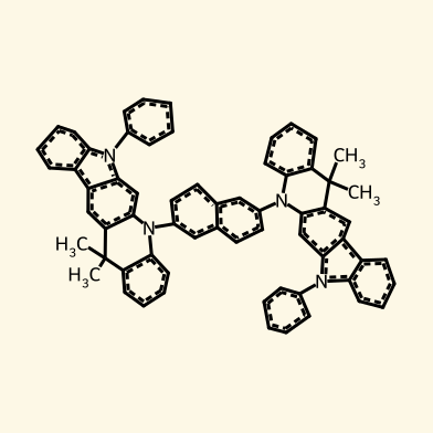 CC1(C)c2ccccc2N(c2ccc3cc(N4c5ccccc5C(C)(C)c5cc6c7ccccc7n(-c7ccccc7)c6cc54)ccc3c2)c2cc3c(cc21)c1ccccc1n3-c1ccccc1